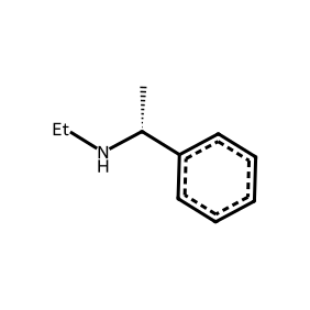 [CH2]CN[C@H](C)c1ccccc1